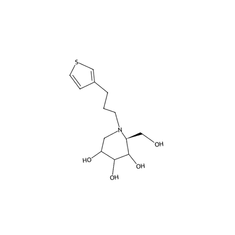 OC[C@H]1C(O)C(O)C(O)CN1CCCc1ccsc1